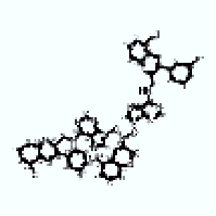 Fc1cccc(-c2cc3c(Cl)cccc3nc2CNc2ncnc3c2ncn3OB(On2cnc3c(NCc4nc5cccc(Cl)c5cc4-c4cccc(F)c4)ncnc32)c2cc3c(Cl)cccc3nc2Cl)c1